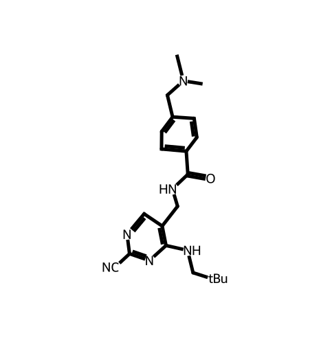 CN(C)Cc1ccc(C(=O)NCc2cnc(C#N)nc2NCC(C)(C)C)cc1